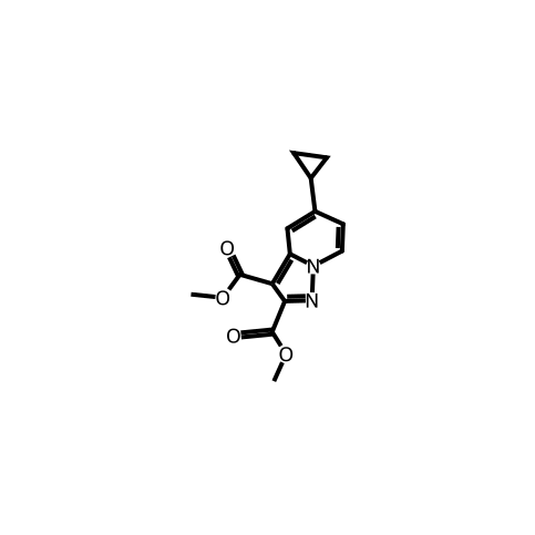 COC(=O)c1nn2ccc(C3CC3)cc2c1C(=O)OC